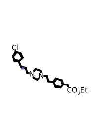 CCOC(=O)Cc1ccc(CCN2CCN(C/C=C/c3ccc(Cl)cc3)CC2)cc1